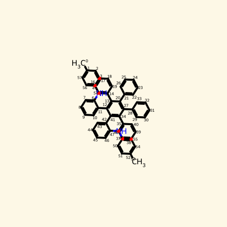 Cc1ccc(Nc2ccccc2-c2c(-c3ccccc3)c(-c3ccccc3)c(-c3ccccc3)c(-c3ccccc3)c2-c2ccccc2Nc2ccc(C)cc2)cc1